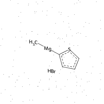 Br.[CH3][Mg][c]1cccs1